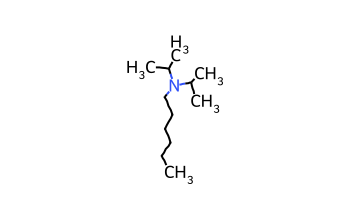 CCCCCCN(C(C)C)C(C)C